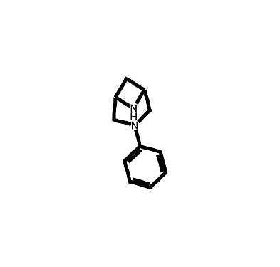 c1ccc(N2CC3CC(C2)N3)cc1